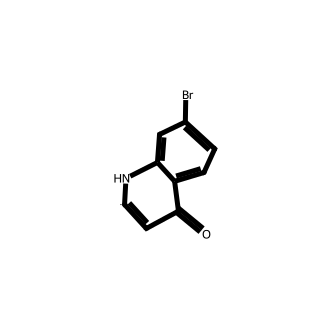 O=c1c[c][nH]c2cc(Br)ccc12